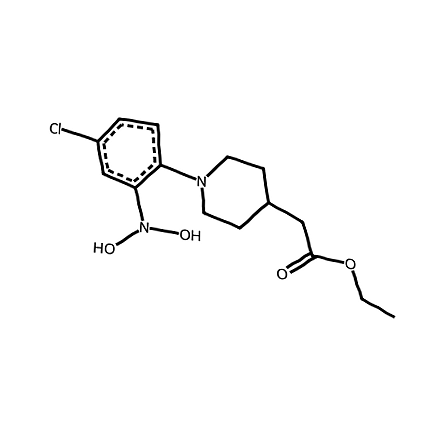 CCOC(=O)CC1CCN(c2ccc(Cl)cc2N(O)O)CC1